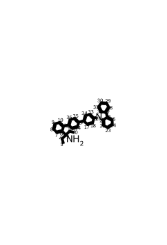 CCC(N)(CC)c1ccccc1-c1ccc(-c2ccc(-n3c4ccccc4c4ccccc43)cc2)cc1